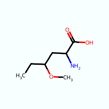 CCC(CC(N)C(=O)O)OC